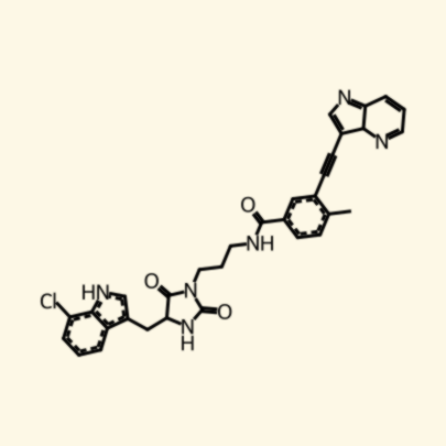 Cc1ccc(C(=O)NCCCN2C(=O)NC(Cc3c[nH]c4c(Cl)cccc34)C2=O)cc1C#CC1=CN=C2C=CC=NC12